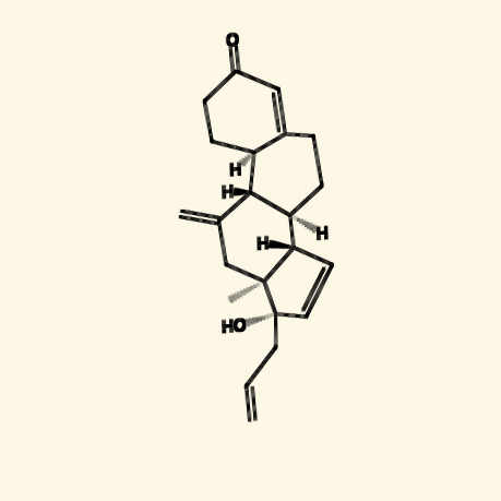 C=CC[C@]1(O)C=C[C@H]2[C@@H]3CCC4=CC(=O)CC[C@@H]4[C@H]3C(=C)C[C@@]21C